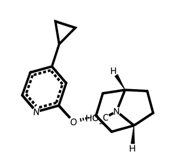 O=C(O)N1[C@@H]2CC[C@H]1C[C@@H](Oc1cc(C3CC3)ccn1)C2